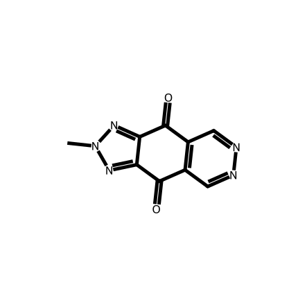 Cn1nc2c(n1)C(=O)c1cnncc1C2=O